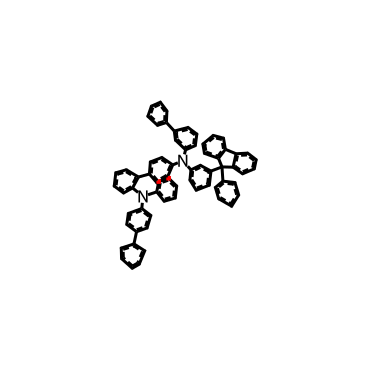 c1ccc(-c2ccc(N(c3ccccc3)c3ccccc3-c3ccc(N(c4cccc(-c5ccccc5)c4)c4cccc(C5(c6ccccc6)c6ccccc6-c6ccccc65)c4)cc3)cc2)cc1